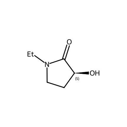 CCN1CC[C@H](O)C1=O